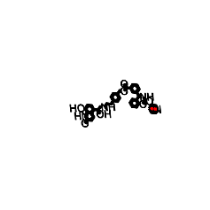 O=C(NC(c1ccccc1)c1cccc(C(=O)OCc2ccc(CCNCC(O)c3ccc(O)c4[nH]c(=O)ccc34)cc2)c1)OC1CN2CCC1CC2